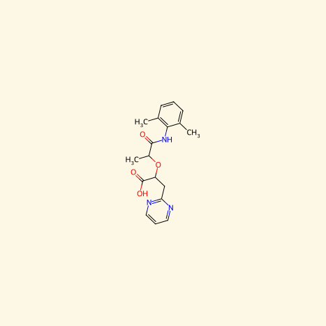 Cc1cccc(C)c1NC(=O)C(C)OC(Cc1ncccn1)C(=O)O